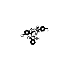 Cn1c(C(=O)NS(=O)(=O)c2ccc(CF)cc2)c(-n2c(=O)[nH]c3ccccc3c2=O)c2cc(Cl)ccc21